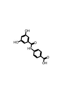 O=C(O)c1ccc(NC(=O)c2cc(O)cc(O)c2)cc1